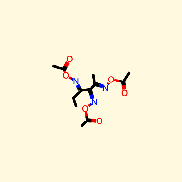 CCC(=N\OC(C)=O)/C(=N\OC(C)=O)C(/C)=N/OC(C)=O